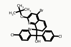 CC(C)(C)Oc1cc(Br)c2c(n1)C(Br)(C(O)(c1ccc(Cl)cc1)c1ccc(Cl)cc1)CC=C2